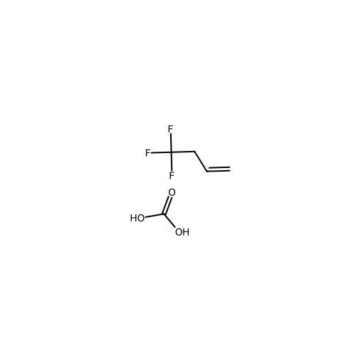 C=CCC(F)(F)F.O=C(O)O